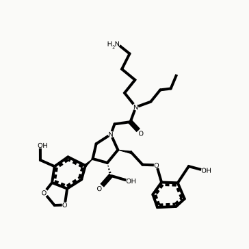 CCCCN(CCCCN)C(=O)CN1C[C@H](c2cc(CO)c3c(c2)OCO3)[C@@H](C(=O)O)[C@@H]1CCOc1ccccc1CO